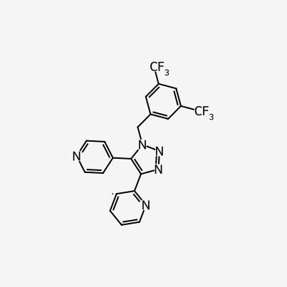 FC(F)(F)c1cc(Cn2nnc(-c3[c]cccn3)c2-c2ccncc2)cc(C(F)(F)F)c1